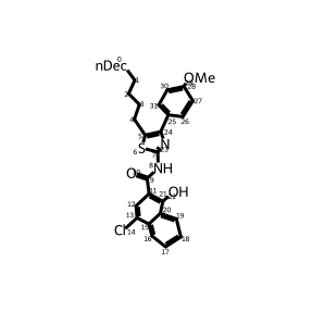 CCCCCCCCCCCCCCc1sc(NC(=O)c2cc(Cl)c3ccccc3c2O)nc1-c1ccc(OC)cc1